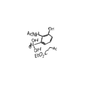 CC(=O)Nc1c(O)cccc1[As](=O)(O)O.CCOC(=O)CC(C)=O